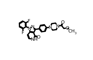 COCC(=O)N1CCN(c2ccc(-c3nn(-c4c(F)cccc4F)c4cc[nH]c(=O)c34)cc2)CC1